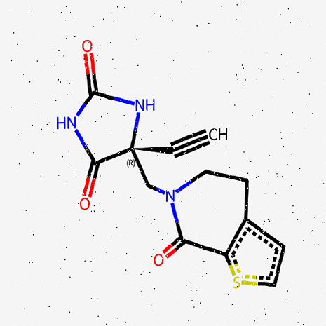 C#C[C@]1(CN2CCc3ccsc3C2=O)NC(=O)NC1=O